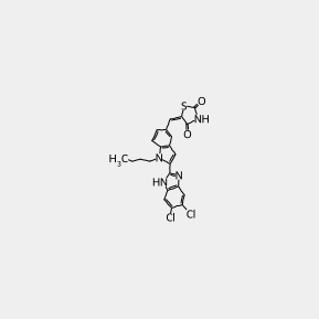 CCCCn1c(-c2nc3cc(Cl)c(Cl)cc3[nH]2)cc2cc(C=C3SC(=O)NC3=O)ccc21